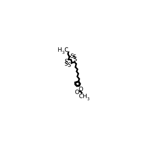 CCCC1SSSC(CCCCCCCc2cccc(OC(=O)CC)c2)C2CC1SSS2